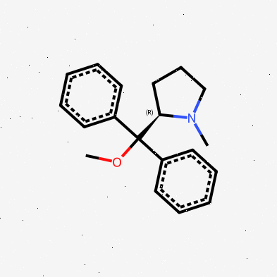 COC(c1ccccc1)(c1ccccc1)[C@H]1CCCN1C